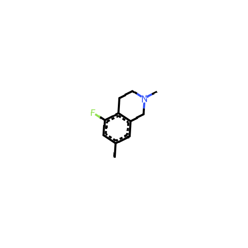 Cc1cc(F)c2c(c1)CN(C)CC2